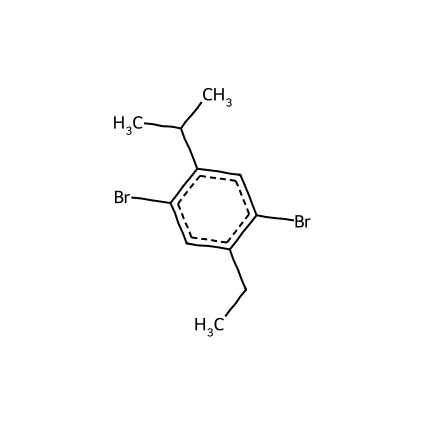 CCc1cc(Br)c(C(C)C)cc1Br